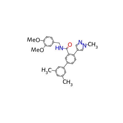 COc1ccc(CNC(=O)c2cc(-c3cc(C)cc(C)c3)ccc2-c2cnn(C)c2)cc1OC